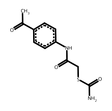 CC(=O)c1ccc(NC(=O)CSC(N)=O)cc1